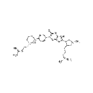 C[C@H]1CC(c2cc3cn(-c4ccc([C@@H]5CCC[C@@H](CCSC(=N)N)N5)cc4)c(=O)nc3[nH]2)N(CCC[C@@H](C)N)C1